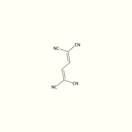 N#CC(C#N)=CC=C(C#N)C#N